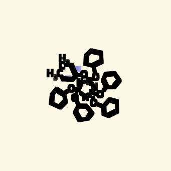 C/C=C\C(=C/C)OP1(Oc2ccccc2)=NP(Oc2ccccc2)(Oc2ccccc2)=NP(Oc2ccccc2)(Oc2ccccc2)=N1